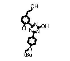 CC(C)(C)COc1ccc(-c2nc(O)nc(-c3cc(CCO)ccc3Cl)n2)cc1